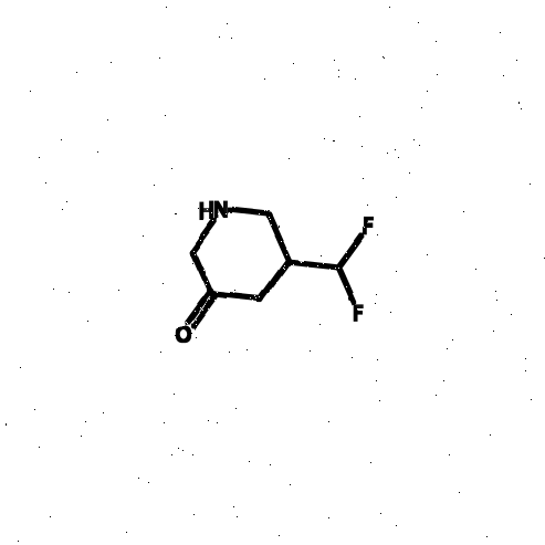 O=C1CNCC(C(F)F)C1